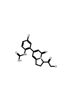 O=C(O)Nc1ccc(Cl)cc1-c1cc2n(c(=O)c1)C(C(=O)CCl)CC2